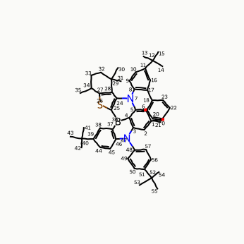 Cc1cc2c3c(c1)N(c1ccc(C(C)(C)C)cc1-c1cc#ccc1)c1c(sc4c1C(C)(C)CCC4C)B3c1cc(C(C)(C)C)ccc1N2c1ccc(C(C)(C)C)cc1